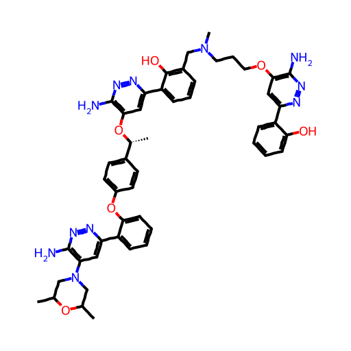 CC1CN(c2cc(-c3ccccc3Oc3ccc([C@@H](C)Oc4cc(-c5cccc(CN(C)CCCOc6cc(-c7ccccc7O)nnc6N)c5O)nnc4N)cc3)nnc2N)CC(C)O1